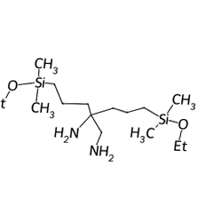 CCO[Si](C)(C)CCCC(N)(CN)CCC[Si](C)(C)OCC